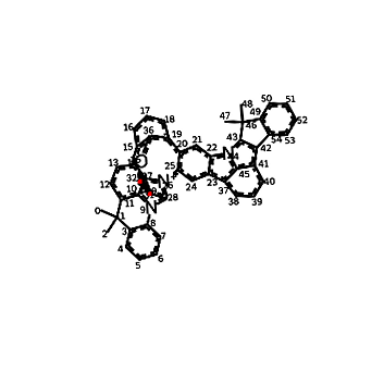 CC1(C)c2ccccc2-n2c3c1ccc1c4cccc5c6cc7c(cc6[n+](c13)c2c1ccccc1oc54)c1cccc2c3c(n7c21)C(C)(C)c1ccccc1-3